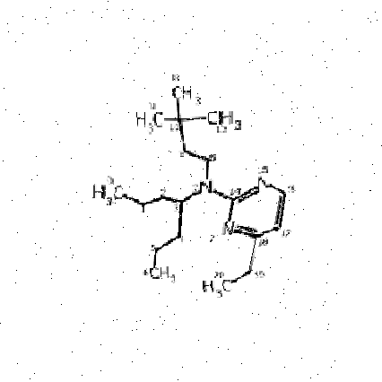 CCCC(CCC)N(CCC(C)(C)C)c1nccc(CC)n1